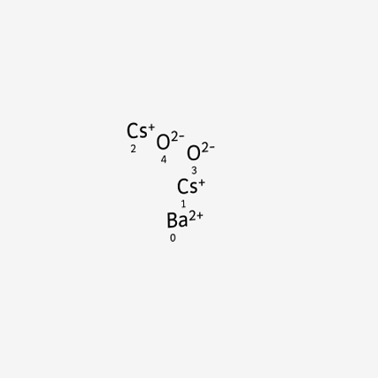 [Ba+2].[Cs+].[Cs+].[O-2].[O-2]